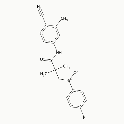 Cc1cc(NC(=O)C(C)(C)C[S+]([O-])c2ccc(F)cc2)ccc1C#N